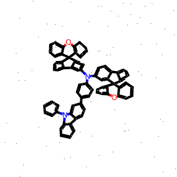 C1=CC2=C(CC1)Oc1ccccc1C21c2ccccc2-c2cc(N(c3ccc(-c4ccc5c6ccccc6n(-c6ccccc6)c5c4)cc3)c3ccc4c(c3)C3(c5ccccc5Oc5ccccc53)c3ccccc3-4)ccc21